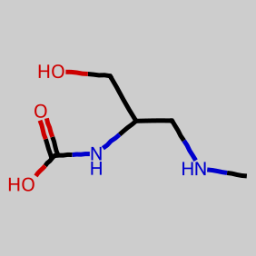 CNCC(CO)NC(=O)O